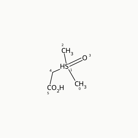 C[SH](C)(=O)CC(=O)O